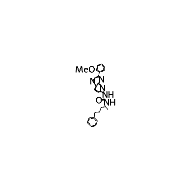 COc1ccccc1-c1cnc2ccc(NC(=O)NC(C)CCCc3ccccc3)nc2n1